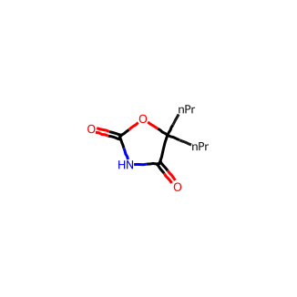 CCCC1(CCC)OC(=O)NC1=O